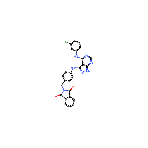 O=C1c2ccccc2C(=O)N1Cc1ccc(Nc2n[nH]c3ncnc(Nc4cccc(Cl)c4)c23)cc1